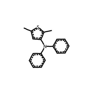 Cc1cc(N(c2ccccc2)c2ccccc2)c(C)s1